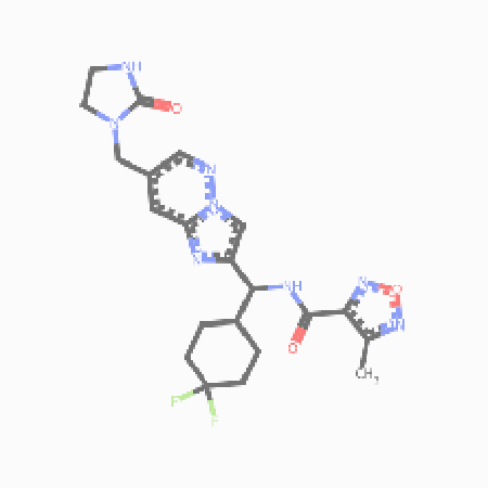 Cc1nonc1C(=O)NC(c1cn2ncc(CN3CCNC3=O)cc2n1)C1CCC(F)(F)CC1